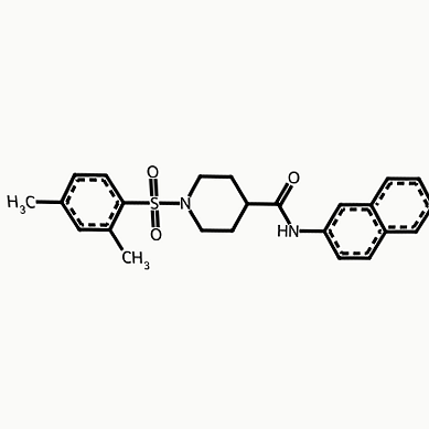 Cc1ccc(S(=O)(=O)N2CCC(C(=O)Nc3ccc4ccccc4c3)CC2)c(C)c1